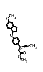 CC#C[C@@H](CC(=O)OC)c1ccc(OC2CCc3cc(OC)ccc32)cc1